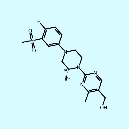 Cc1nc(N2CCN(c3ccc(F)c(S(C)(=O)=O)c3)C[C@H]2C(C)C)ncc1CO